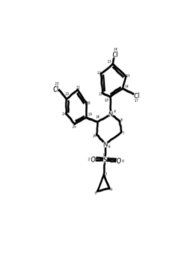 O=S(=O)(C1CC1)N1CCN(c2ccc(Cl)cc2Cl)C(c2ccc(Cl)cc2)C1